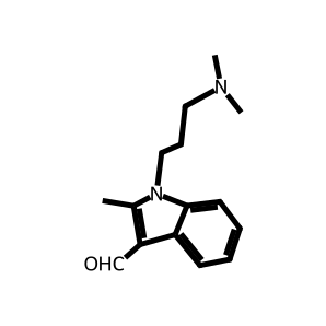 Cc1c(C=O)c2ccccc2n1CCCN(C)C